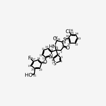 O=C1CC(c2ccsc2)(c2cccc(Oc3cc(F)cc(CO)c3)n2)NC(=O)C1Sc1ccccc1Cl